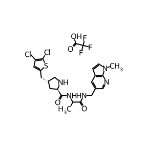 CC(NC(=O)[C@H]1C[C@H](Cc2cc(Cl)c(Cl)s2)CN1)C(=O)NCc1cnc2c(ccn2C)c1.O=C(O)C(F)(F)F